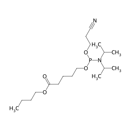 CCCCOC(=O)CCCCOP(OCCC#N)N(C(C)C)C(C)C